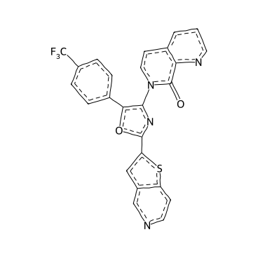 O=c1c2ncccc2ccn1-c1nc(-c2cc3cnccc3s2)oc1-c1ccc(C(F)(F)F)cc1